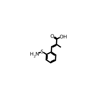 C/C(=C\c1ccccc1SN)C(=O)O